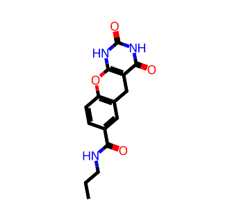 CCCNC(=O)c1ccc2c(c1)Cc1c([nH]c(=O)[nH]c1=O)O2